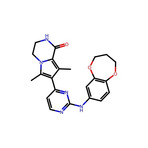 Cc1c(-c2ccnc(Nc3ccc4c(c3)OCCCO4)n2)c(C)n2c1C(=O)NCC2